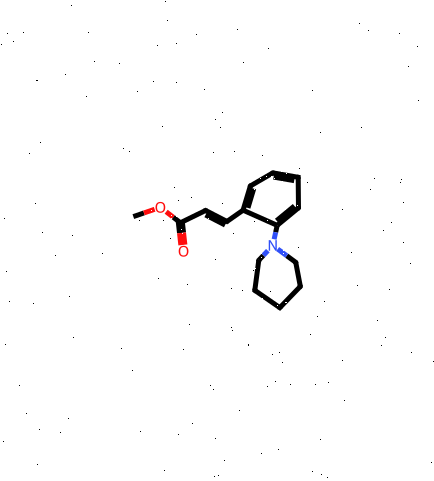 COC(=O)C=Cc1ccccc1N1CCCCC1